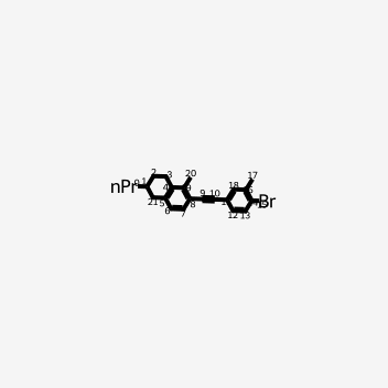 CCCC1CCc2c(ccc(C#Cc3ccc(Br)c(C)c3)c2C)C1